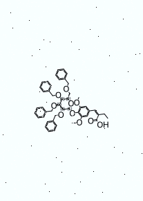 CCC(=Cc1cc(OC)c(O[C@@H]2O[C@H](COCc3ccccc3)[C@@H](OCc3ccccc3)[C@H](OCc3ccccc3)[C@H]2OCc2ccccc2)c(OC)c1)C(=O)O